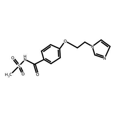 CS(=O)(=O)NC(=O)c1ccc(OCCn2ccnc2)cc1